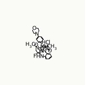 COc1cc(N2CCOCC2)ccc1Nc1ncc(F)c(Nc2ccccc2NS(C)(=O)=O)n1.Cl